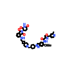 COc1cc2nn([C@H]3CC[C@H](CN4CCC5(CC4)CC(CNc4cccc6c4C(=O)N(C4CCC(=O)NC4=O)C6=O)C5)CC3)cc2cc1NC(=O)c1coc(-c2ccnc(C)c2)n1